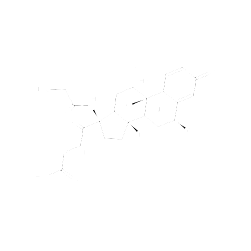 CCC(=O)O[C@]1(C(=O)COC(C)=O)[C@@H](C)C[C@H]2[C@@H]3C[C@H](C)C4=CC(=O)C=C[C@]4(C)[C@@]3(Cl)[C@@H](O)C[C@@]21C